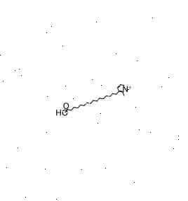 Cc1c(CCCCCCCCCCCCCCCC(=O)O)ccc[n+]1C